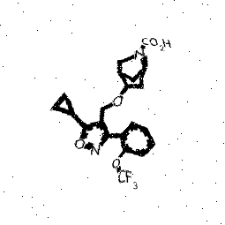 O=C(O)N1CC2CC1CC2OCc1c(-c2ccccc2OC(F)(F)F)noc1C1CC1